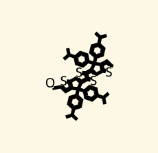 CC(C)c1ccc(C2(c3ccc(C(C)C)cc3)c3ccsc3-c3sc4c5c(sc4c32)-c2sc(C=O)cc2C5(c2ccc(C(C)C)cc2)c2ccc(C(C)C)cc2)cc1